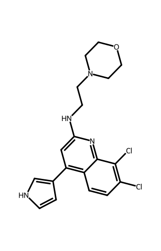 Clc1ccc2c(-c3cc[nH]c3)cc(NCCN3CCOCC3)nc2c1Cl